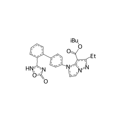 CCc1nn2ccn(-c3ccc(-c4ccccc4-c4nc(=O)o[nH]4)cc3)c2c1C(=O)OC(C)CC